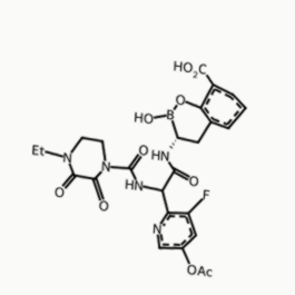 CCN1CCN(C(=O)NC(C(=O)N[C@H]2Cc3cccc(C(=O)O)c3OB2O)c2ncc(OC(C)=O)cc2F)C(=O)C1=O